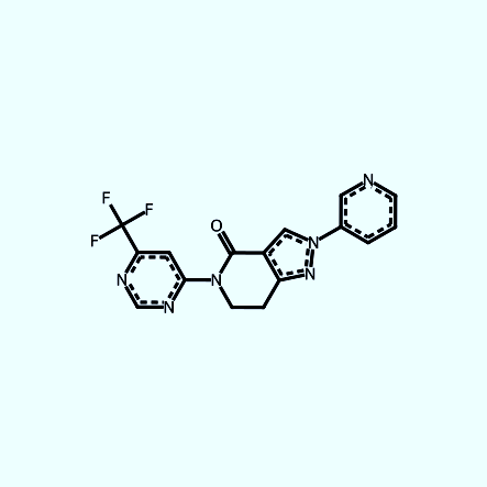 O=C1c2cn(-c3cccnc3)nc2CCN1c1cc(C(F)(F)F)ncn1